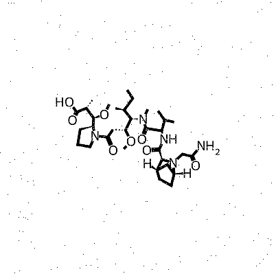 CC[C@H](C)[C@@H]([C@@H](CC(=O)N1CCC[C@H]1[C@H](OC)[C@@H](C)C(=O)O)OC)N(C)C(=O)[C@@H](NC(=O)[C@@H]1[C@H]2CC[C@H](C2)N1CC(N)=O)C(C)C